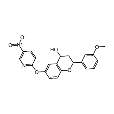 COc1cccc(C2CC(O)c3cc(Oc4ccc([N+](=O)[O-])cn4)ccc3O2)c1